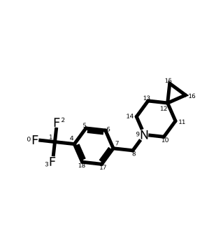 FC(F)(F)c1ccc(CN2CCC3(CC2)CC3)cc1